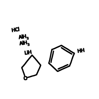 C1CCOC1.Cl.[AlH3].[AlH3].[HH].[LiH].c1ccccc1